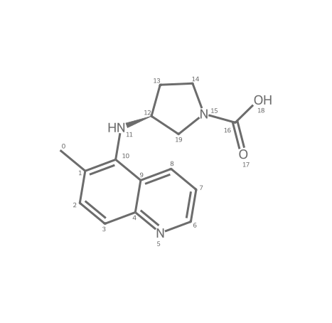 Cc1ccc2ncccc2c1N[C@H]1CCN(C(=O)O)C1